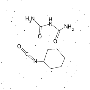 NC(=O)NC(N)=O.O=C=NC1CCCCC1